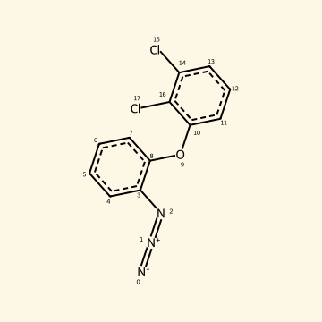 [N-]=[N+]=Nc1ccccc1Oc1cccc(Cl)c1Cl